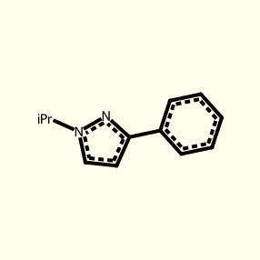 CC(C)n1ccc(-c2ccccc2)n1